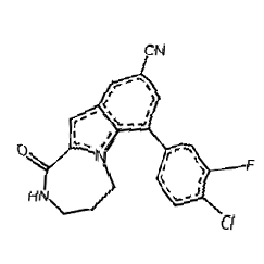 N#Cc1cc(-c2ccc(Cl)c(F)c2)c2c(c1)cc1n2CCCNC1=O